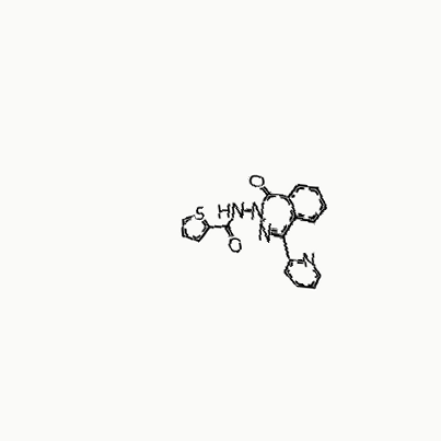 O=C(Nn1nc(-c2ccccn2)c2ccccc2c1=O)c1cccs1